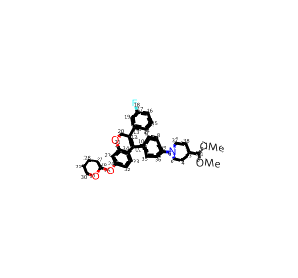 COC(OC)C1CCN(c2ccc(C3=C(c4cccc(F)c4)COc4cc(OC5CCCCO5)ccc43)cc2)CC1